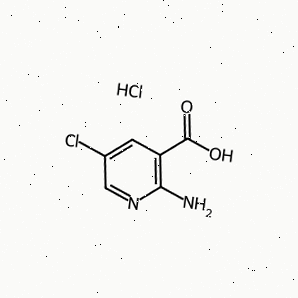 Cl.Nc1ncc(Cl)cc1C(=O)O